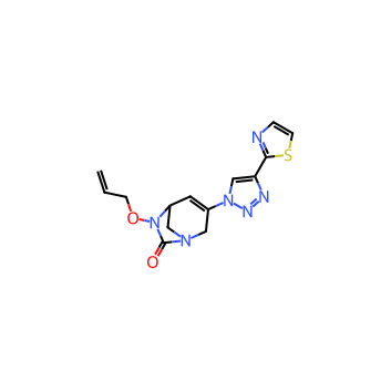 C=CCON1C(=O)N2CC(n3cc(-c4nccs4)nn3)=CC1C2